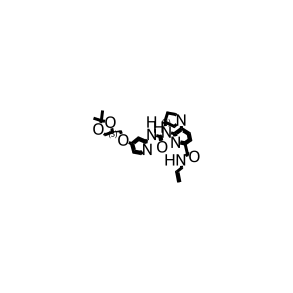 C=CCNC(=O)c1ccc2c(n1)N(C(=O)Nc1cc(OC[C@H]3COC(C)(C)O3)ccn1)[C@H]1CCN2C1